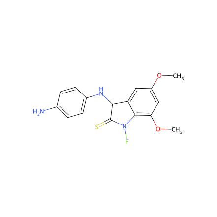 COc1cc(OC)c2c(c1)C(Nc1ccc(N)cc1)C(=S)N2F